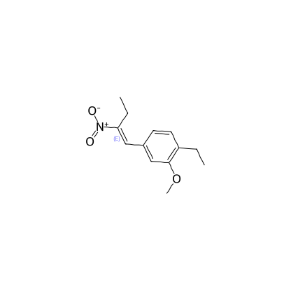 CC/C(=C\c1ccc(CC)c(OC)c1)[N+](=O)[O-]